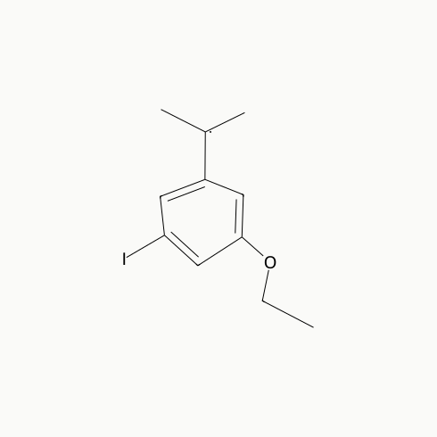 CCOc1cc(I)cc([C](C)C)c1